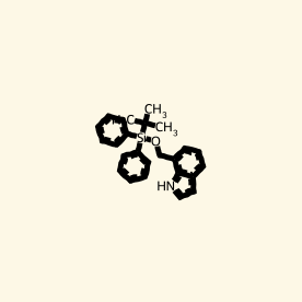 CC(C)(C)[Si](OCc1cccc2cc[nH]c12)(c1ccccc1)c1ccccc1